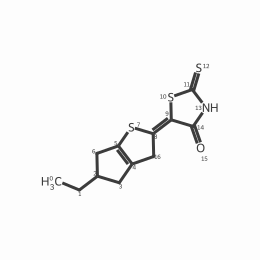 CCC1CC2=C(C1)SC(=C1SC(=S)NC1=O)C2